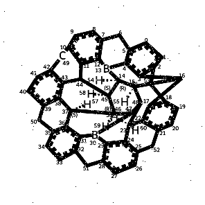 c1cc2c3c4c1Cc1ccc5c6c1B4[C@H]1[C@H]4C3c3c(ccc7c3[C@H]3c8c(ccc9c8B8c%10c(ccc%11c%10[C@H]%10c%12c(ccc(c%12C6[C@@H]1[C@H]%10[C@H]8C34)C5)C%11)C9)C7)C2